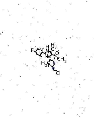 C=C(/C=C\C(F)=C/CCl)[C@@H]1N=C(c2ncc(F)cc2F)NC(C)=C1C(=O)OC